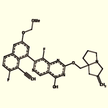 C#Cc1c(F)ccc2cc(OCOC)cc(-c3ncc4c(O)nc(OCC56CCCN5CC(=C)C6)nc4c3F)c12